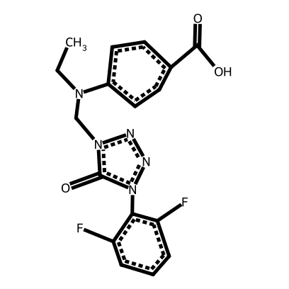 CCN(Cn1nnn(-c2c(F)cccc2F)c1=O)c1ccc(C(=O)O)cc1